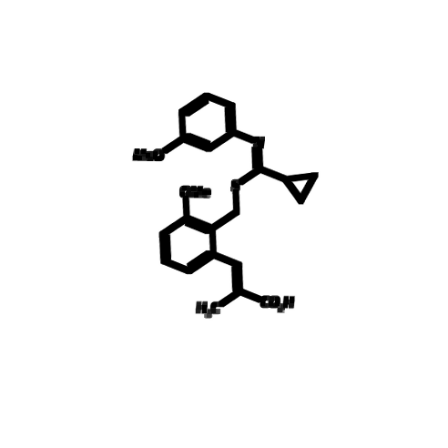 COc1cccc(N=C(SCc2c(C=C(C)C(=O)O)cccc2OC)C2CC2)c1